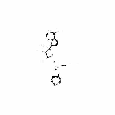 CCOC(=O)CNP(=O)(OC[C@H]1O[C@@](C#N)(c2ccc3c(N)ncnn23)[C@H](O)[C@@H]1O)Oc1ccccc1